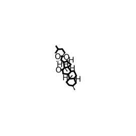 CC1CC[C@@]2(OC1)O[C@H]1C[C@H]3[C@@H]4CC[C@H]5C[C@@H](C)CC[C@]5(C)[C@H]4CC(=O)[C@]3(C)[C@H]1[C@@H]2C